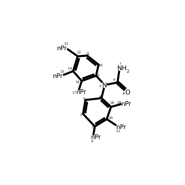 CCCc1ccc(N(C(N)=O)c2ccc(CCC)c(CCC)c2CCC)c(CCC)c1CCC